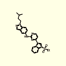 CCS(=O)(=O)n1cc(-c2ccnc(Nc3ccc4c(cnn4CCN(C)C)c3)n2)c2ccccc21